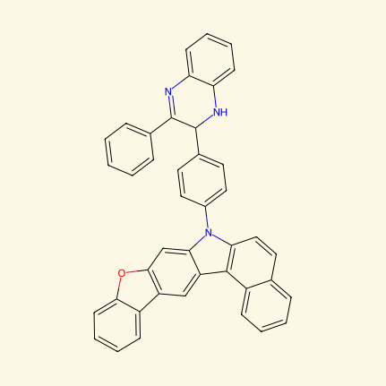 c1ccc(C2=Nc3ccccc3NC2c2ccc(-n3c4cc5oc6ccccc6c5cc4c4c5ccccc5ccc43)cc2)cc1